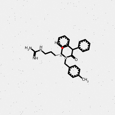 Cc1ccc(CN(C(=O)C(c2ccccc2)c2ccccc2)[C@H](CCCNC(=N)N)C(=O)O)cc1